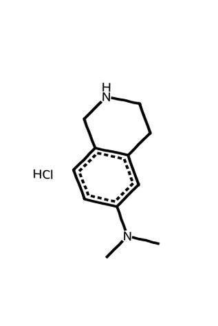 CN(C)c1ccc2c(c1)CCNC2.Cl